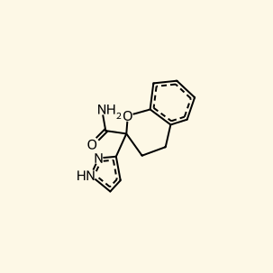 NC(=O)C1(c2cc[nH]n2)CCc2ccccc2O1